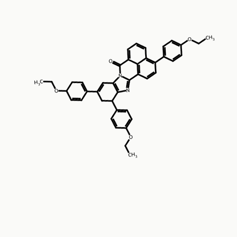 CCOc1ccc(-c2ccc3c4c2cccc4c(=O)n2c4c(nc32)C(c2ccc(OCC)cc2)CC(C2=CCC(OCC)C=C2)=C4)cc1